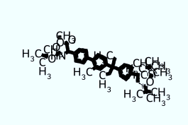 CCC(CC)(c1ccc(CC[C@H](O[Si](C)(C)C(C)(C)C)C(C)(C)C)c(C)c1)c1ccc(-c2ccc(C(NC(=O)OC(C)(C)C)C(=O)OC)cc2)c(C)c1